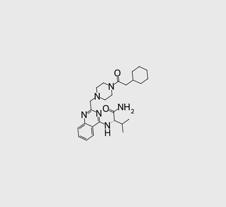 CC(C)[C@H](Nc1nc(CN2CCN(C(=O)CC3CCCCC3)CC2)nc2ccccc12)C(N)=O